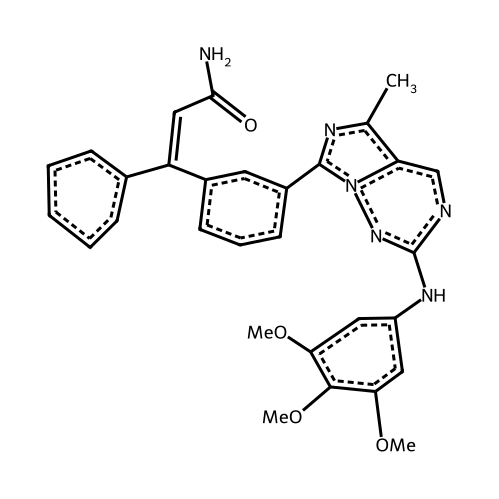 COc1cc(Nc2ncc3c(C)nc(-c4cccc(/C(=C\C(N)=O)c5ccccc5)c4)n3n2)cc(OC)c1OC